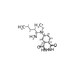 CCCCC(N)N(CC)c1ccc2c(=O)[nH][nH]c(=O)c2c1